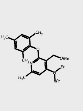 CCCN(CC)c1cc(C)nc(Oc2c(C)cc(C)cc2C)c1COC